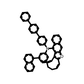 C/C1=C\c2c(oc3cc4ccccc4c(N(c4ccc(-c5ccc(-c6ccccc6)cc5)cc4)c4cccc(-c5cccc6ccccc56)c4)c23)/C=C\CC1